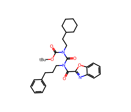 CC(C)(C)OC(=O)N(CCC1CCCCC1)C(=O)N(CCCc1ccccc1)C(=O)c1nc2ccccc2o1